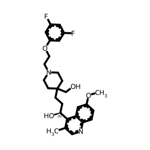 COc1ccc2ncc(C)c([C@@H](O)CCC3(CO)CCN(CCOc4cc(F)cc(F)c4)CC3)c2c1